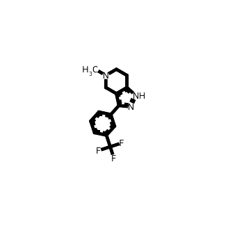 CN1CCc2[nH]nc(-c3cccc(C(F)(F)F)c3)c2C1